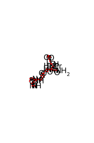 Cc1cccc(-c2nc(CNc3ccc4c(c3)CN(C(=O)OCc3ccc(NC(=O)C(CCCNC(N)=O)NC(=O)[C@@H](NC(=O)CCCCCN5C(=O)C=CC5=O)C(C)C)cc3)CC4)[nH]c2-c2ccc3ncnn3c2)n1